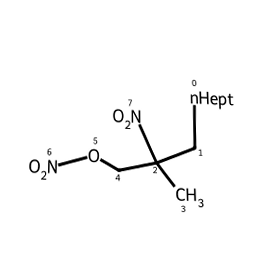 CCCCCCCCC(C)(CO[N+](=O)[O-])[N+](=O)[O-]